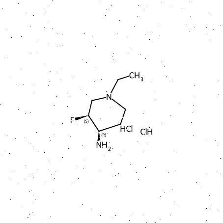 CCN1CC[C@@H](N)[C@@H](F)C1.Cl.Cl